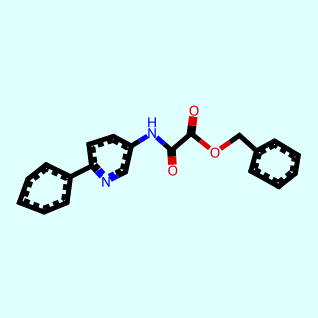 O=C(Nc1ccc(-c2ccccc2)nc1)C(=O)OCc1ccccc1